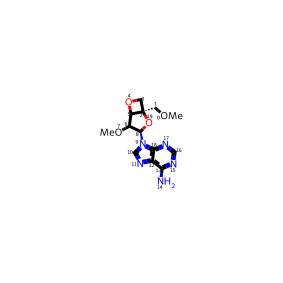 COC[C@@]12COC1C(OC)[C@H](n1cnc3c(N)ncnc31)O2